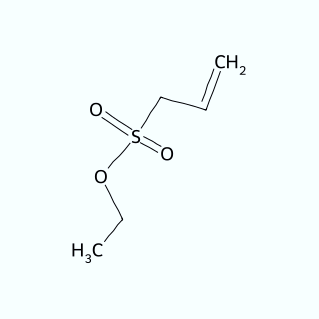 C=CCS(=O)(=O)OCC